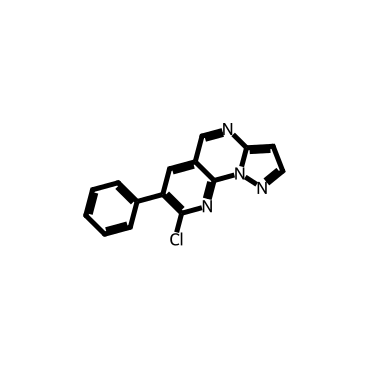 Clc1nc2c(cnc3ccnn32)cc1-c1ccccc1